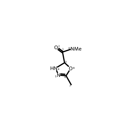 CNC(=O)C1NN=C(C)O1